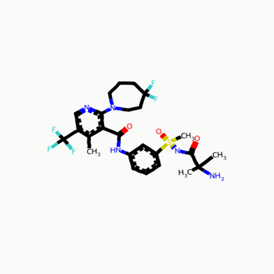 Cc1c(C(F)(F)F)cnc(N2CCCC(F)(F)CC2)c1C(=O)Nc1cccc(S(C)(=O)=NC(=O)C(C)(C)N)c1